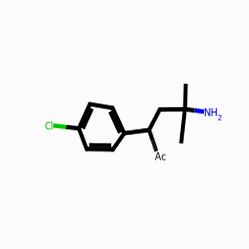 CC(=O)C(CC(C)(C)N)c1ccc(Cl)cc1